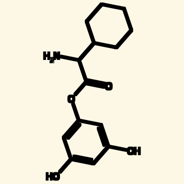 NC(C(=O)Oc1cc(O)cc(O)c1)C1CCCCC1